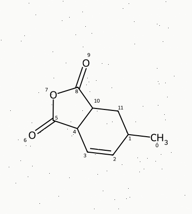 CC1C=CC2C(=O)OC(=O)C2C1